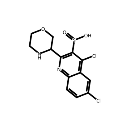 O=S(O)c1c(C2COCCN2)nc2ccc(Cl)cc2c1Cl